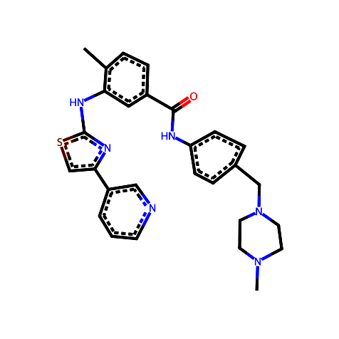 Cc1ccc(C(=O)Nc2ccc(CN3CCN(C)CC3)cc2)cc1Nc1nc(-c2cccnc2)cs1